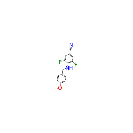 COc1ccc(CNc2c(F)cc(C#N)cc2F)cc1